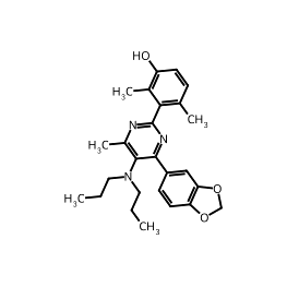 CCCN(CCC)c1c(C)nc(-c2c(C)ccc(O)c2C)nc1-c1ccc2c(c1)OCO2